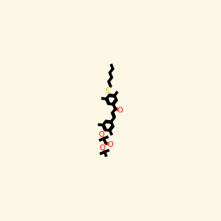 CCCCCCSc1c(C)cc(C(=O)C=Cc2cc(C)c(OC(C)(C)C(=O)OC(C)(C)C)c(C)c2)cc1C